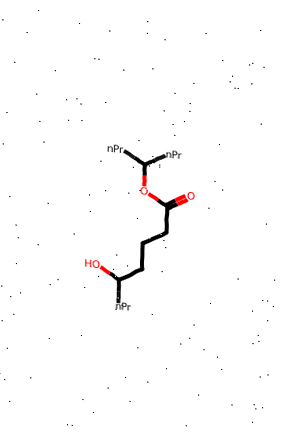 CCCC(O)CCCC(=O)OC(CCC)CCC